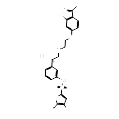 Cc1n[nH]c2cc(OCCNC[C@H](O)c3cccc(NS(=O)(=O)c4cc(Cl)c(Cl)s4)c3)ccc12